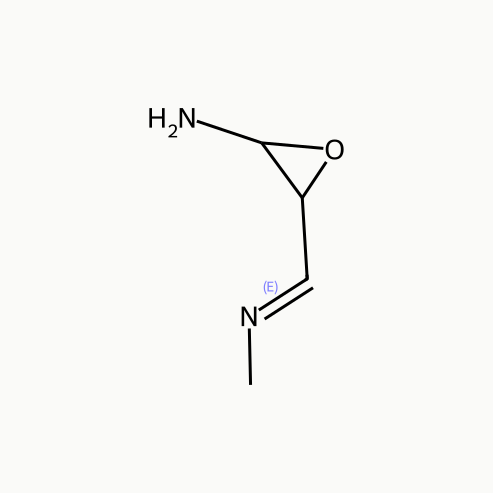 C/N=C/C1OC1N